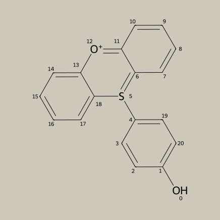 Oc1ccc(S2=c3ccccc3=[O+]c3ccccc32)cc1